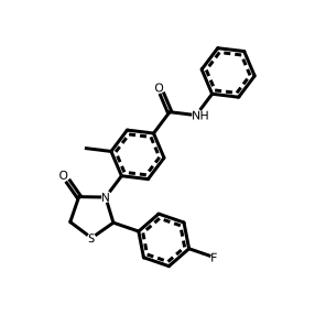 Cc1cc(C(=O)Nc2ccccc2)ccc1N1C(=O)CSC1c1ccc(F)cc1